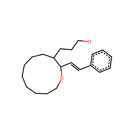 [O]CCCC1CCCCCCCCOC1C=Cc1ccccc1